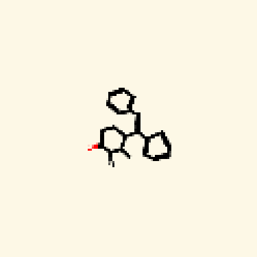 CCC1C(=O)CCC(/C(=C\c2ccccc2)c2ccccc2)C1C